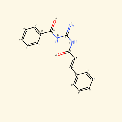 N=C(NC(=O)C=Cc1ccccc1)NC(=O)c1ccccc1